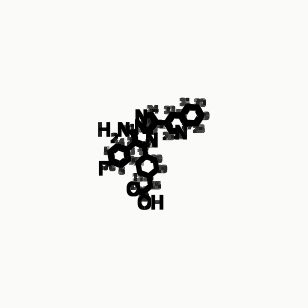 Nc1c(-c2ccc(F)cc2)c(C2CCC(CC(=O)O)CC2)nc2c(-c3cnc4ccccc4c3)cnn12